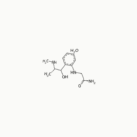 CNC(C)C(O)c1ccccc1NCC(N)=O.O